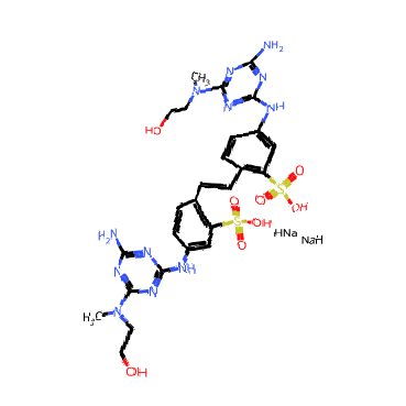 CN(CCO)c1nc(N)nc(Nc2ccc(C=Cc3ccc(Nc4nc(N)nc(N(C)CCO)n4)cc3S(=O)(=O)O)c(S(=O)(=O)O)c2)n1.[NaH].[NaH]